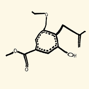 C=C(C)Cc1c(O)cc(C(=O)OC)cc1OC